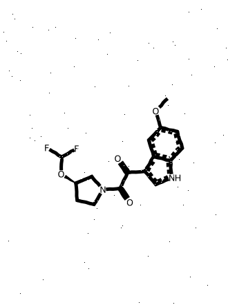 COc1ccc2[nH]cc(C(=O)C(=O)N3CC[C@@H](OC(F)F)C3)c2c1